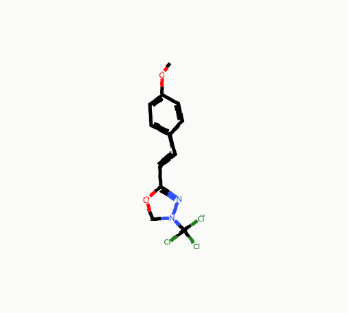 COc1ccc(C=CC2=NN(C(Cl)(Cl)Cl)CO2)cc1